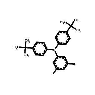 CC(C)(C)c1ccc(N(c2ccc(C(C)(C)C)cc2)c2cc(F)cc(F)c2)cc1